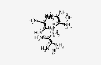 Cl.NC(N)=C(N)N.NC(N)=C(N)N.NC(N)=C(N)N.[Ni]